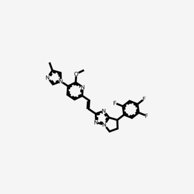 COc1nc(C=Cc2nc3n(n2)CCC3c2cc(F)c(F)cc2F)ccc1-n1cnc(C)c1